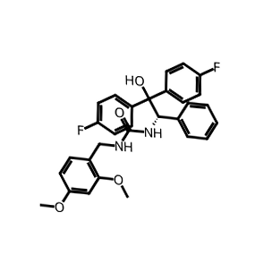 COc1ccc(CNC(=O)N[C@@H](c2ccccc2)C(O)(c2ccc(F)cc2)c2ccc(F)cc2)c(OC)c1